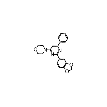 c1ccc(-c2cc(N3CCOCC3)nc(-c3ccc4c(c3)OCO4)n2)cc1